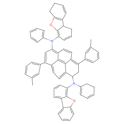 Cc1cccc(C2=c3ccc4c(N(C5=C6OC7=C(C=CCC7)C6CC=C5)c5ccccc5)cc(-c5cccc(C)c5)c5ccc(c3c54)C(N(C3=CC=CCC3)c3cccc4c3oc3ccccc34)C2)c1